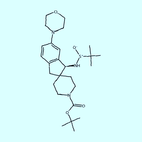 CC(C)(C)OC(=O)N1CCC2(CC1)Cc1ccc(N3CCOCC3)cc1[C@H]2N[S+]([O-])C(C)(C)C